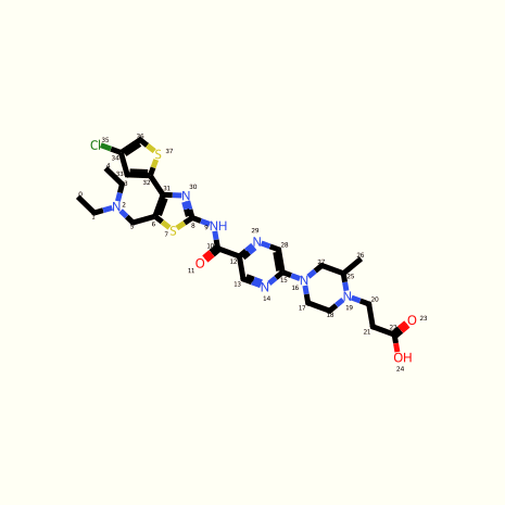 CCN(CC)Cc1sc(NC(=O)c2cnc(N3CCN(CCC(=O)O)C(C)C3)cn2)nc1-c1cc(Cl)cs1